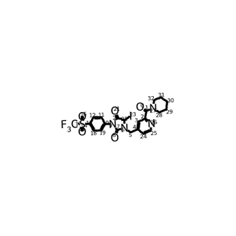 O=C(c1cc(CN2C(=O)N(c3ccc(S(=O)(=O)C(F)(F)F)cc3)C(=O)C2I)ccn1)N1CCCCC1